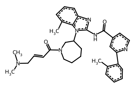 Cc1ccccc1-c1cc(C(=O)Nc2nc3cccc(C)c3n2C2CCCCN(C(=O)C=CCN(C)C)C2)ccn1